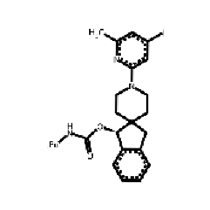 Cc1cc(I)cc(N2CCC3(CC2)Cc2ccccc2[C@H]3OC(=O)NC(C)(C)C)n1